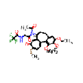 CCOc1cc2c(c(OC)c1OC)-c1ccc(SC)c(=O)cc1[C@@H](N(C(C)=O)C(=O)CNC(=O)C(F)(F)F)CC2